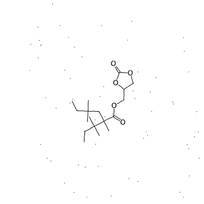 CCC(C)(C)CC(C)(C(=O)OCC1COC(=O)O1)C(C)(C)CC